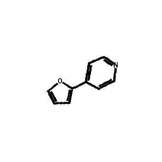 [c]1ccc(-c2ccncc2)o1